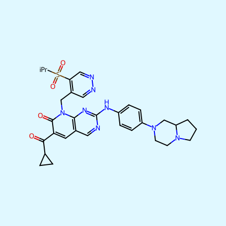 CC(C)S(=O)(=O)c1cnncc1Cn1c(=O)c(C(=O)C2CC2)cc2cnc(Nc3ccc(N4CCN5CCCC5C4)cc3)nc21